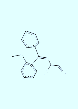 CNc1ccccc1/C(=N\C(N)C=O)c1ccccc1